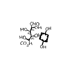 O=C[C@@H](O)[C@H](O)[C@@H](O)[C@@H](O)C(=O)O.Oc1ccc(O)cc1